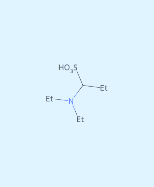 CCC(N(CC)CC)S(=O)(=O)O